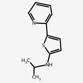 CC(C)Nc1ccc(-c2ccccn2)s1